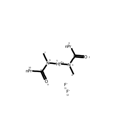 CCCC(=O)[N](C)[Hf+2][N](C)C(=O)CCC.[F-].[F-]